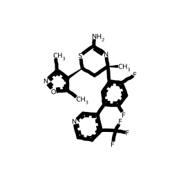 Cc1noc(C)c1[C@@H]1C[C@@](C)(c2cc(-c3cnccc3C(F)(F)F)c(F)cc2F)N=C(N)S1